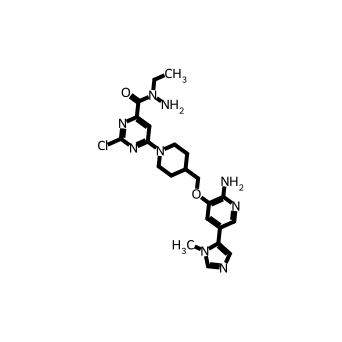 CCN(N)C(=O)c1cc(N2CCC(COc3cc(-c4cncn4C)cnc3N)CC2)nc(Cl)n1